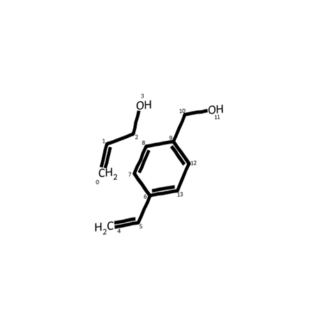 C=CCO.C=Cc1ccc(CO)cc1